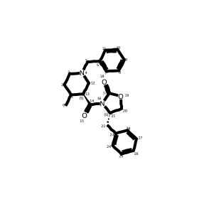 CC1CCN(Cc2ccccc2)C[C@H]1C(=O)N1C(=O)OC[C@@H]1Cc1ccccc1